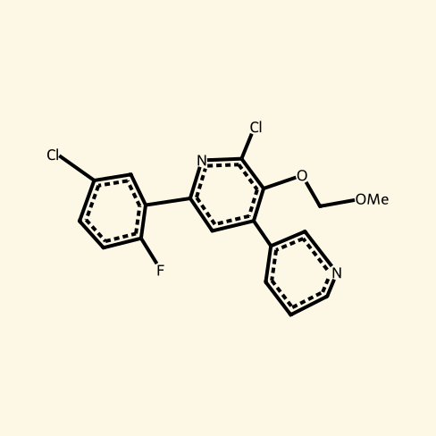 COCOc1c(-c2cccnc2)cc(-c2cc(Cl)ccc2F)nc1Cl